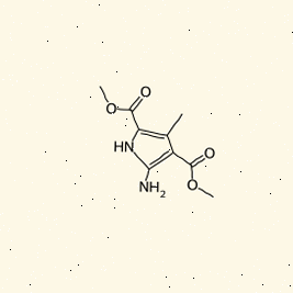 COC(=O)c1[nH]c(N)c(C(=O)OC)c1C